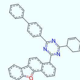 C1=CCC(c2nc(-c3ccc(-c4ccccc4)cc3)nc(-c3cccc4c3ccc3c5ccccc5oc43)n2)C=C1